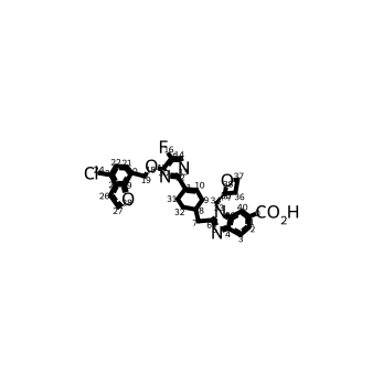 O=C(O)c1ccc2nc(CC3CC=C(c4ncc(F)c(OCc5ccc(Cl)c6ccoc56)n4)CC3)n(C[C@@H]3CCO3)c2c1